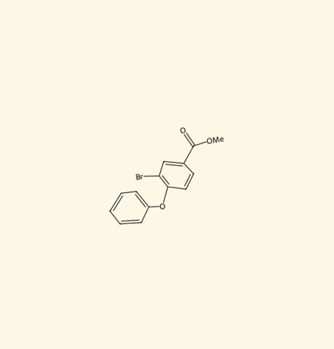 COC(=O)c1ccc(Oc2ccccc2)c(Br)c1